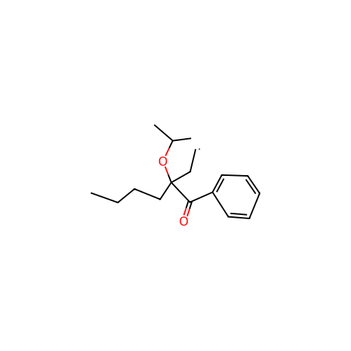 [CH2]CC(CCCC)(OC(C)C)C(=O)c1ccccc1